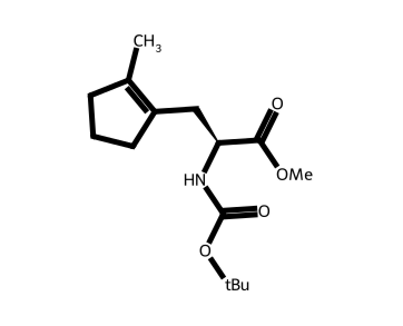 COC(=O)[C@H](CC1=C(C)CCC1)NC(=O)OC(C)(C)C